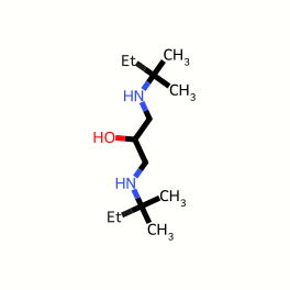 CCC(C)(C)NCC(O)CNC(C)(C)CC